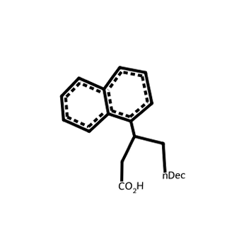 CCCCCCCCCCCC(CC(=O)O)c1cccc2ccccc12